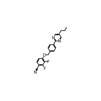 CCCc1cnc(-c2ccc(COc3ccc(C#N)c(F)c3F)cc2)nc1